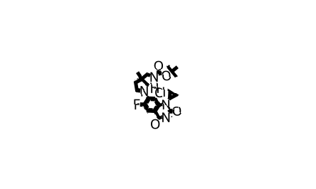 CC1(CNC(=O)OC(C)(C)C)CCN(c2c(F)cc3c(c2Cl)N(C2CC2)C(=O)[N]C3=O)C1